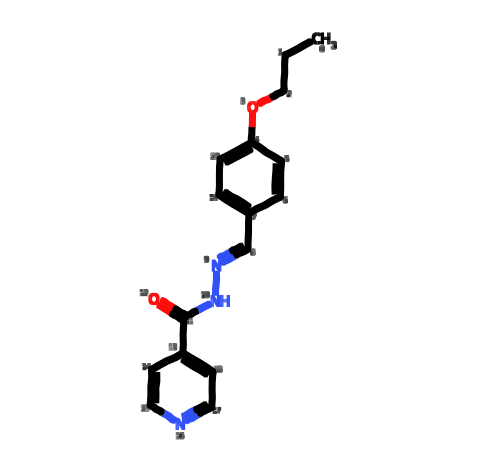 CCCOc1ccc(/C=N/NC(=O)c2ccncc2)cc1